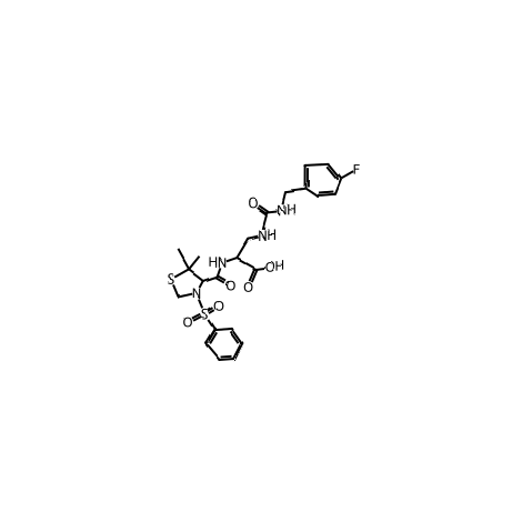 CC1(C)SCN(S(=O)(=O)c2ccccc2)C1C(=O)NC(CNC(=O)NCc1ccc(F)cc1)C(=O)O